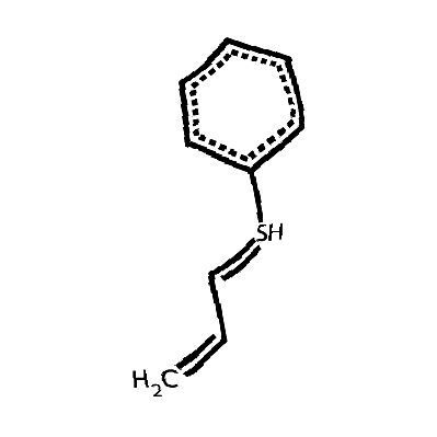 C=CC=[SH]c1ccccc1